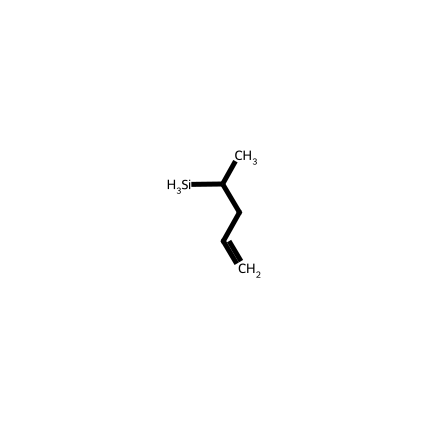 C=CCC(C)[SiH3]